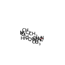 Cc1cc(-c2[nH]c3ccc(C(C)(C)C(=O)NC4CN5CCC4CC5)cc3c2C(C)C)ccn1